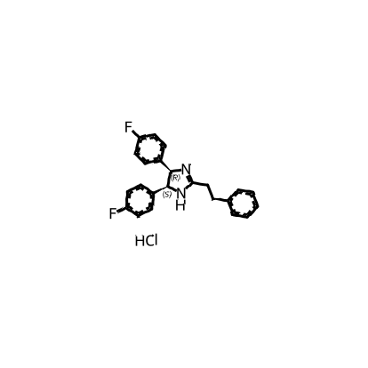 Cl.Fc1ccc([C@H]2N=C(CCc3ccccc3)N[C@H]2c2ccc(F)cc2)cc1